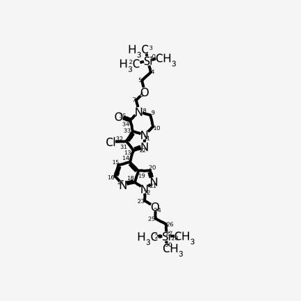 C[Si](C)(C)CCOCN1CCn2nc(-c3ccnc4c3cnn4COCC[Si](C)(C)C)c(Cl)c2C1=O